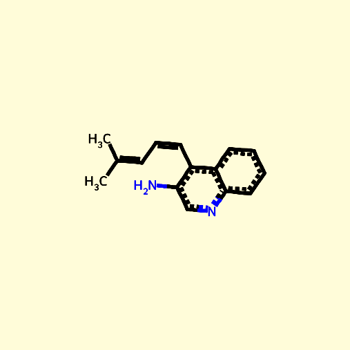 CC(C)=C/C=C\c1c(N)cnc2ccccc12